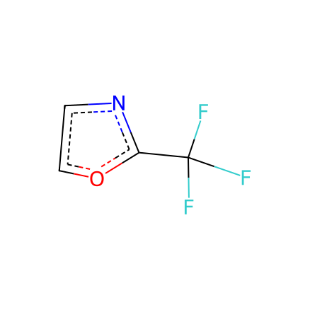 FC(F)(F)c1ncco1